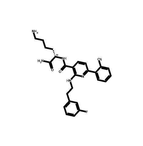 N#Cc1ccccc1-c1ccc(C(=O)N[C@@H](CCCCN)C(N)=O)c(NCCc2cccc(F)c2)n1